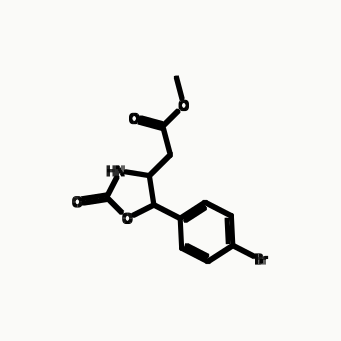 COC(=O)CC1NC(=O)OC1c1ccc(Br)cc1